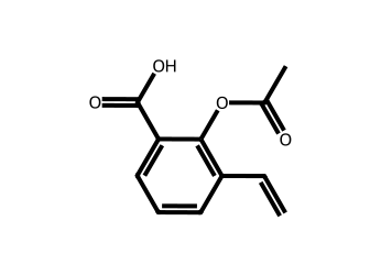 C=Cc1cccc(C(=O)O)c1OC(C)=O